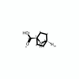 O=C(O)[C@]12CC[C@@H](CC1)N2